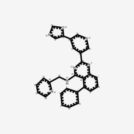 c1ccc(-c2cccc3nc(-c4cncc(-c5cnco5)c4)nc(NCc4ccccn4)c23)cc1